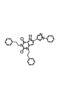 O=c1c2[nH]c(-c3cnn(-c4ccccc4)c3)cc2n(CCc2ccccc2)c(=O)n1CCc1ccccc1